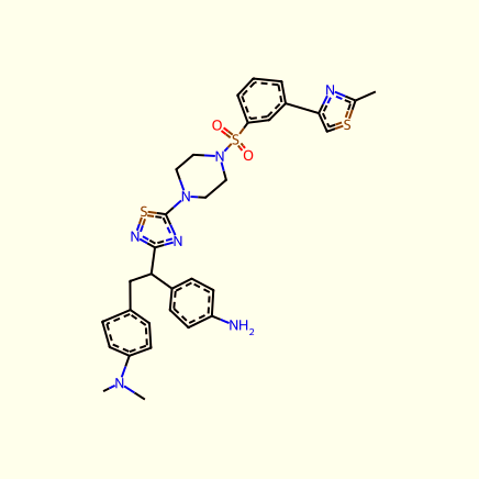 Cc1nc(-c2cccc(S(=O)(=O)N3CCN(c4nc(C(Cc5ccc(N(C)C)cc5)c5ccc(N)cc5)ns4)CC3)c2)cs1